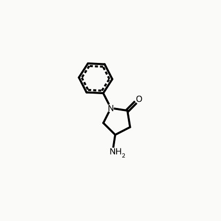 NC1CC(=O)N(c2ccccc2)C1